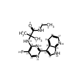 CCNC(=O)C(C)(C)Nc1nc(-c2c[nH]c3ncccc23)ncc1F